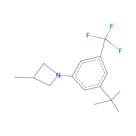 CC1CN(c2cc(C(C)(C)C)cc(C(F)(F)F)c2)C1